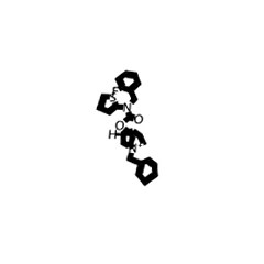 O=C(O[C@H]1C[N+]2(Cc3ccccc3)CCC1CC2)N(Cc1ccccc1F)c1cccs1